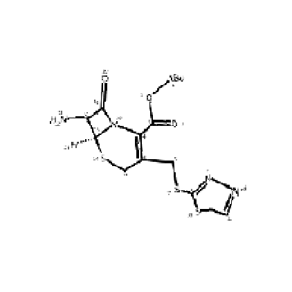 CC(C)(C)OC(=O)C1=C(CSc2nncs2)CS[C@H]2C(N)C(=O)N12